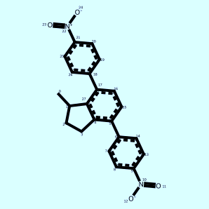 CC1CCc2c(-c3ccc([N+](=O)[O-])cc3)ccc(-c3ccc([N+](=O)[O-])cc3)c21